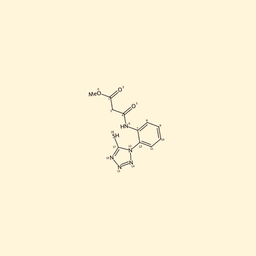 COC(=O)CC(=O)Nc1ccccc1-n1nnnc1S